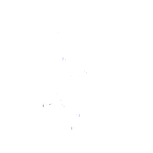 CC(C)C(NC(=O)OC(C)(C)C)C(=O)N[C@H](C(=O)OCN1C(=O)N(Cc2ccc(Cl)cc2)SC1NC(=O)c1ccc(Cl)cc1)C(C)C